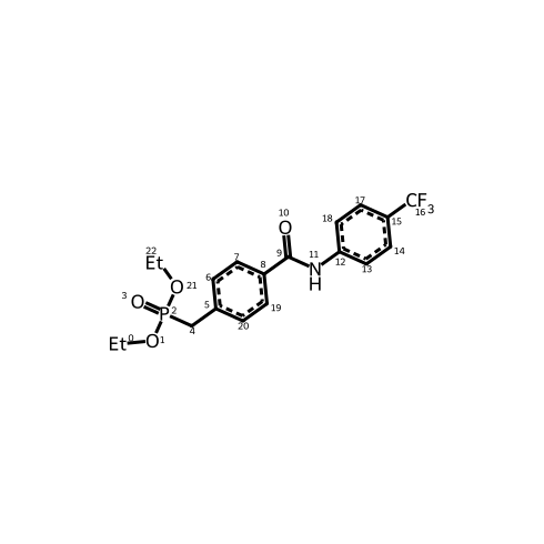 CCOP(=O)(Cc1ccc(C(=O)Nc2ccc(C(F)(F)F)cc2)cc1)OCC